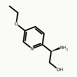 CCOc1ccc([C@@H](N)CO)nc1